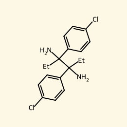 CCC(N)(c1ccc(Cl)cc1)C(N)(CC)c1ccc(Cl)cc1